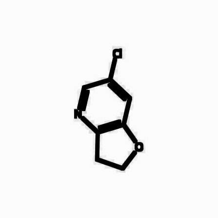 Clc1cnc2c(c1)OCC2